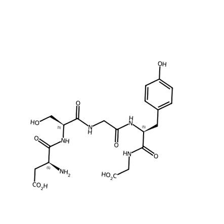 N[C@@H](CC(=O)O)C(=O)N[C@@H](CO)C(=O)NCC(=O)N[C@@H](Cc1ccc(O)cc1)C(=O)NCC(=O)O